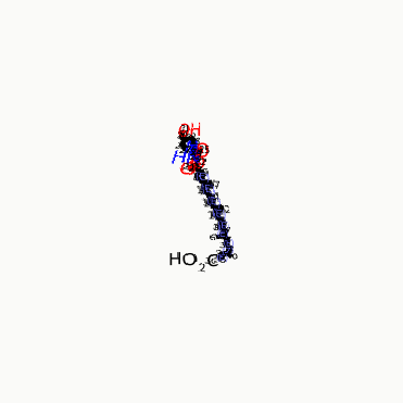 CC(=C/C=C/C(C)=C/C=C/C=C(C)/C=C/C=C(C)/C=C/C(=O)ONC(=O)N1CCC(CO)CC1)/C=C/C(=O)O